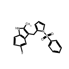 Cc1[nH]c2ccc(F)cc2c1Cc1cccn1S(=O)(=O)c1ccccc1